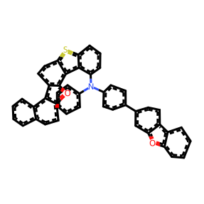 c1ccc(N(c2ccc(-c3ccc4c(c3)oc3ccccc34)cc2)c2cccc3sc4ccc5c(oc6ccc7ccccc7c65)c4c23)cc1